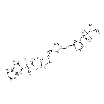 CC(C)(C(N)=O)S(=O)(=O)c1cccc(OCC(O)CNC2COC3(CCN(S(=O)(=O)c4cnc5ccccc5c4)CC3)C2)c1